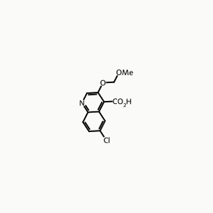 COCOc1cnc2ccc(Cl)cc2c1C(=O)O